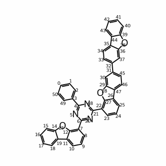 c1ccc(-c2nc(-c3cccc4c3oc3ccccc34)nc(-c3cccc4c3oc3cc(-c5ccc6c(c5)oc5ccccc56)ccc34)n2)cc1